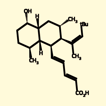 C/C(=C/C(C)(C)C)[C@H]1[C@@H](/C=C/C=C/C(=O)O)[C@H]2[C@@H](C[C@@H]1C)[C@@H](O)CC[C@@H]2C